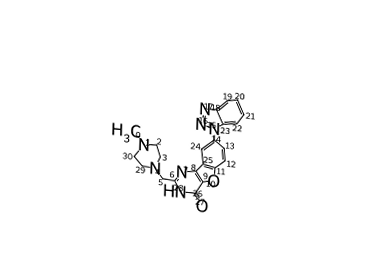 CN1CCN(Cc2nc3c(oc4ccc(-n5nnc6ccccc65)cc43)c(=O)[nH]2)CC1